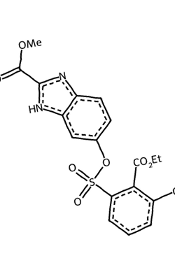 CCOC(=O)c1c(Cl)cccc1S(=O)(=O)Oc1ccc2nc(C(=O)OC)[nH]c2c1